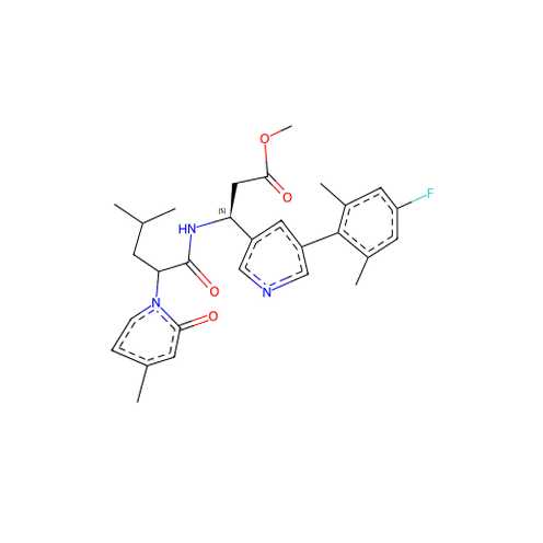 COC(=O)C[C@H](NC(=O)C(CC(C)C)n1ccc(C)cc1=O)c1cncc(-c2c(C)cc(F)cc2C)c1